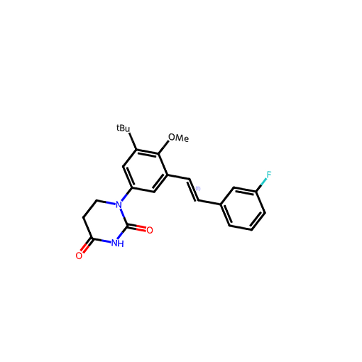 COc1c(/C=C/c2cccc(F)c2)cc(N2CCC(=O)NC2=O)cc1C(C)(C)C